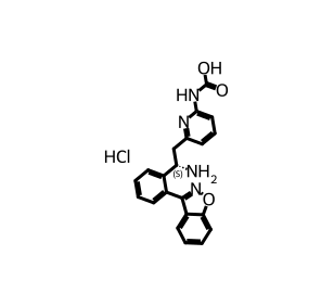 Cl.N[C@@H](Cc1cccc(NC(=O)O)n1)c1ccccc1-c1noc2ccccc12